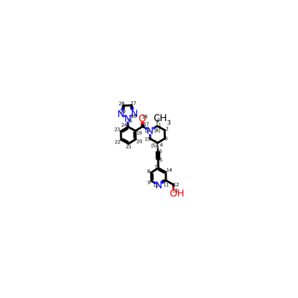 C[C@@H]1CC[C@@H](C#Cc2ccnc(CO)c2)CN1C(=O)c1ccccc1-n1nccn1